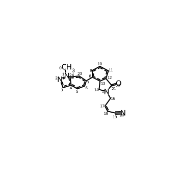 Cn1ncc2ccc(-c3cccc4c3CN(C/C=C\C#N)C4=O)cc21